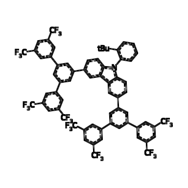 CC(C)(C)c1ccccc1-n1c2ccc(-c3cc(-c4cc(C(F)(F)F)cc(C(F)(F)F)c4)cc(-c4cc(C(F)(F)F)cc(C(F)(F)F)c4)c3)cc2c2cc(-c3cc(-c4cc(C(F)(F)F)cc(C(F)(F)F)c4)cc(-c4cc(C(F)(F)F)cc(C(F)(F)F)c4)c3)ccc21